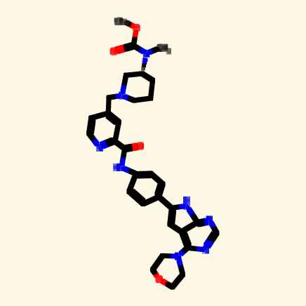 CN(C(=O)OC(C)(C)C)[C@@H]1CCCN(Cc2ccnc(C(=O)Nc3ccc(-c4cc5c(N6CCOCC6)ncnc5[nH]4)cc3)c2)C1